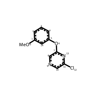 COc1cccc(Oc2cncc(Cl)n2)c1